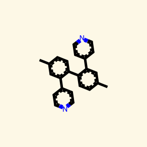 Cc1ccc(-c2ccc(C)cc2-c2ccncc2)c(-c2ccncc2)c1